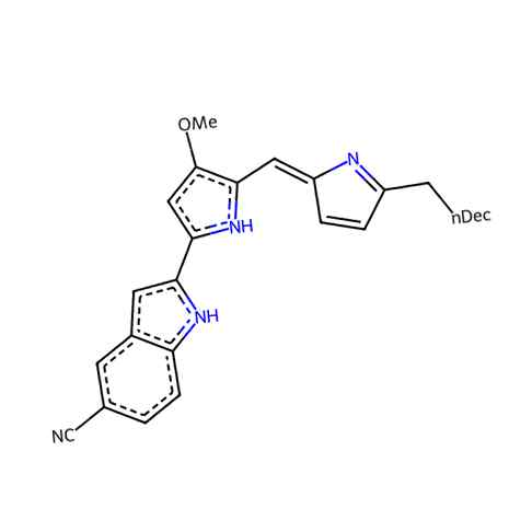 CCCCCCCCCCCC1=NC(=Cc2[nH]c(-c3cc4cc(C#N)ccc4[nH]3)cc2OC)C=C1